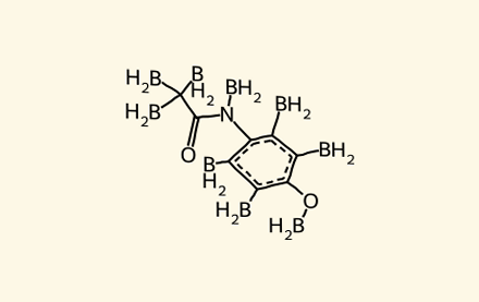 BOc1c(B)c(B)c(N(B)C(=O)C(B)(B)B)c(B)c1B